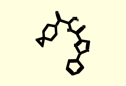 CC(NC(=O)c1cnn(-c2ccccc2)n1)C(=O)N1CCC2(CC1)CC2